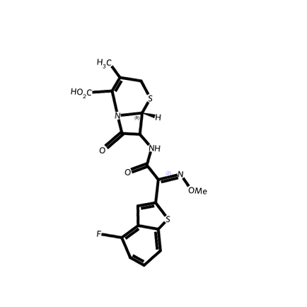 CO/N=C(/C(=O)NC1C(=O)N2C(C(=O)O)=C(C)CS[C@H]12)c1cc2c(F)cccc2s1